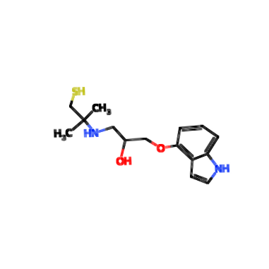 CC(C)(CS)NCC(O)COc1cccc2[nH]ccc12